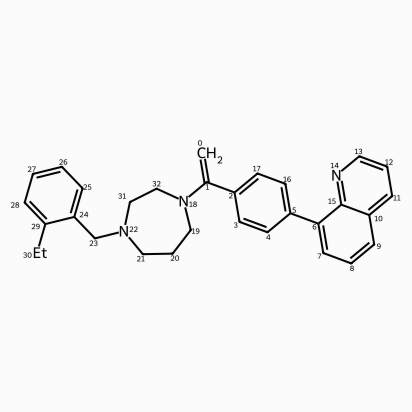 C=C(c1ccc(-c2cccc3cccnc23)cc1)N1CCCN(Cc2ccccc2CC)CC1